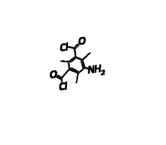 Cc1c(N)c(C)c(C(=O)Cl)c(C)c1C(=O)Cl